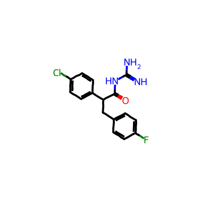 N=C(N)NC(=O)C(Cc1ccc(F)cc1)c1ccc(Cl)cc1